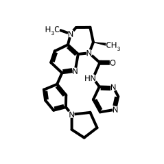 C[C@@H]1CCN(C)c2ccc(-c3cccc(N4CCCC4)c3)nc2N1C(=O)Nc1ccncn1